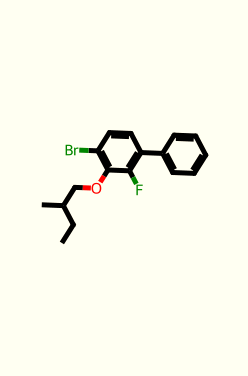 CCC(C)COc1c(Br)ccc(-c2ccccc2)c1F